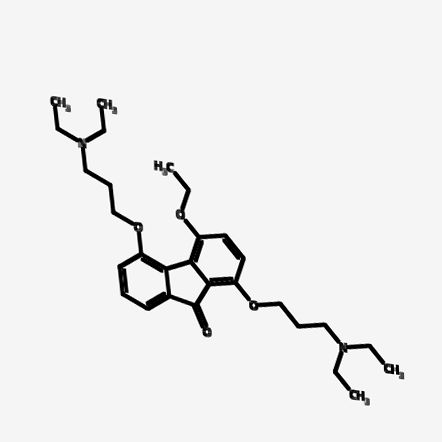 CCOc1ccc(OCCCN(CC)CC)c2c1-c1c(OCCCN(CC)CC)cccc1C2=O